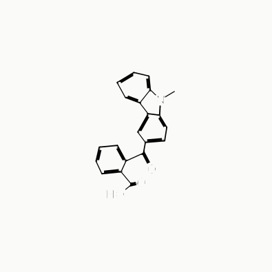 Cn1c2ccccc2c2cc(C(=O)c3ccccc3C(=O)O)ccc21